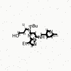 CCCCN(c1cc(NCc2ccc(C)nc2)n2ncc(CC)c2n1)[C@@H](C)CCO